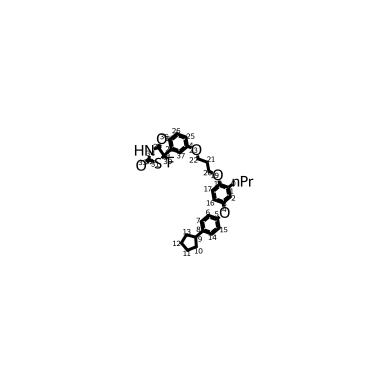 CCCc1cc(Oc2ccc(C3CCCC3)cc2)ccc1OCCCOc1cccc(C2(F)SC(=O)NC2=O)c1